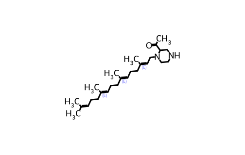 CC(=O)C1CNCCN1C/C=C(\C)CC/C=C(\C)CC/C=C(\C)CCC=C(C)C